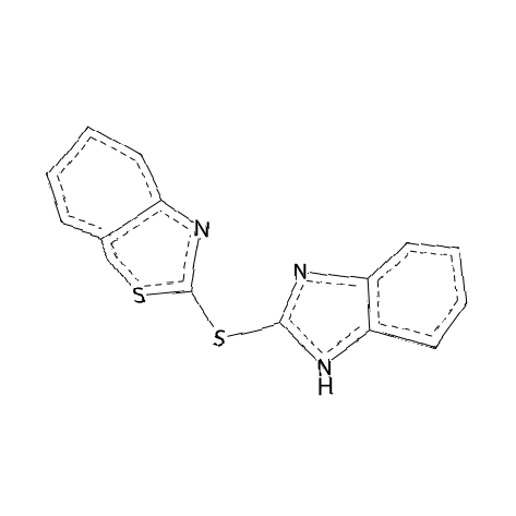 c1ccc2[nH]c(Sc3nc4ccccc4s3)nc2c1